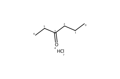 CCCC(=O)CC.Cl